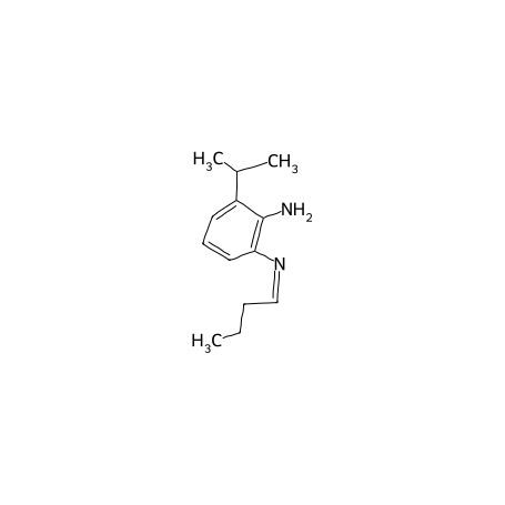 CCC/C=N\c1cccc(C(C)C)c1N